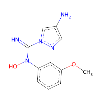 COc1cccc(N(O)C(=N)n2cc(N)cn2)c1